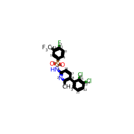 Cc1nc(NS(=O)(=O)c2ccc(F)c(C(F)(F)F)c2)ccc1-c1cccc(Cl)c1Cl